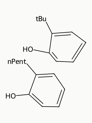 CC(C)(C)c1ccccc1O.CCCCCc1ccccc1O